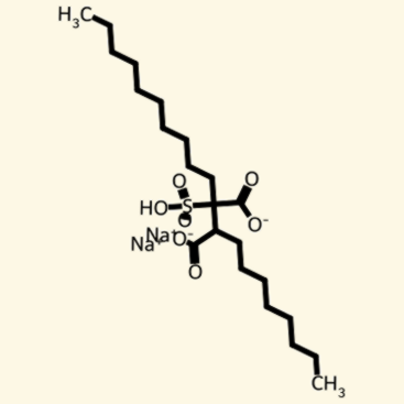 CCCCCCCCCCC(C(=O)[O-])(C(CCCCCCCC)C(=O)[O-])S(=O)(=O)O.[Na+].[Na+]